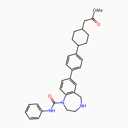 COC(=O)CC1CCC(c2ccc(-c3ccc4c(c3)CNCCN4C(=O)Nc3ccccc3)cc2)CC1